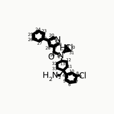 Cl.NC[C@]1(c2cccc(Cl)c2)CC[C@H](N(C(=O)c2cncc(-c3ccccc3)c2)C2CC2)CC1